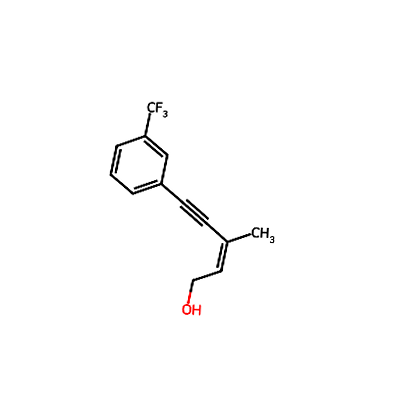 C/C(C#Cc1cccc(C(F)(F)F)c1)=C/CO